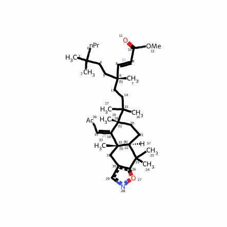 CCCC(C)(C)CC[C@](C)(/C=C/C(=O)OC)CCC(C)(C)[C@]1(C)CC[C@H]2C(C)(C)c3oncc3C[C@]2(C)/C1=C/C(C)=O